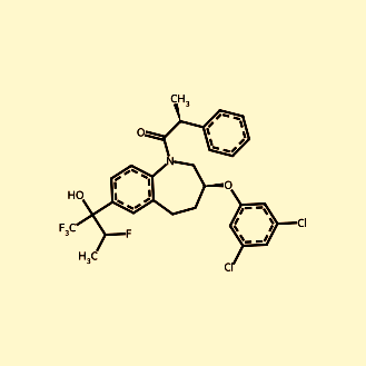 CC(F)C(O)(c1ccc2c(c1)CC[C@H](Oc1cc(Cl)cc(Cl)c1)CN2C(=O)[C@@H](C)c1ccccc1)C(F)(F)F